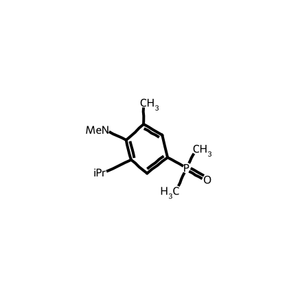 CNc1c(C)cc(P(C)(C)=O)cc1C(C)C